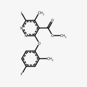 COC(=O)c1c(Oc2ccc(F)cc2C)nnc(I)c1C